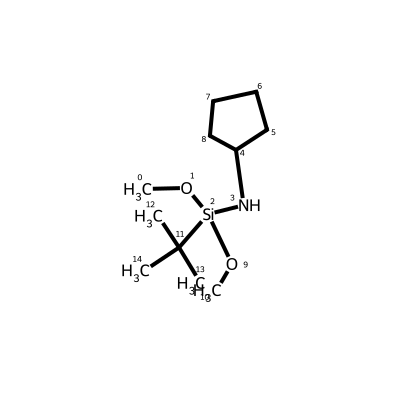 CO[Si](NC1CCCC1)(OC)C(C)(C)C